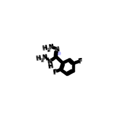 N/N=C(\NN)c1cc(F)ccc1F